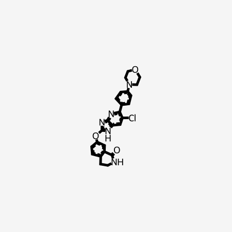 O=C1NCCc2ccc(Oc3nc4nc(-c5ccc(N6CCOCC6)cc5)c(Cl)cc4[nH]3)cc21